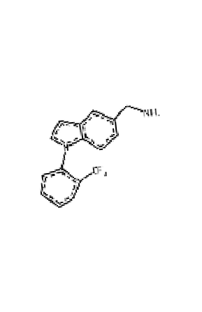 NCc1ccc2c(ccn2-c2ccccc2C(F)(F)F)c1